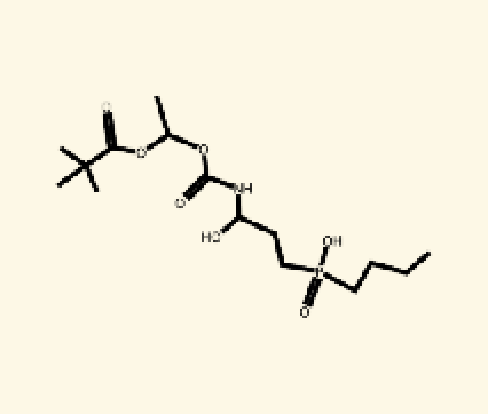 CCCCP(=O)(O)CCC(O)NC(=O)OC(C)OC(=O)C(C)(C)C